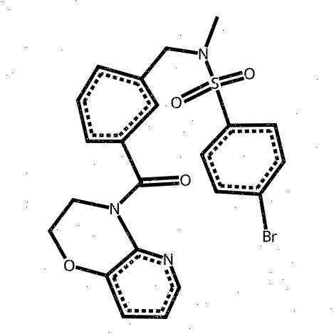 CN(Cc1cccc(C(=O)N2CCOc3cccnc32)c1)S(=O)(=O)c1ccc(Br)cc1